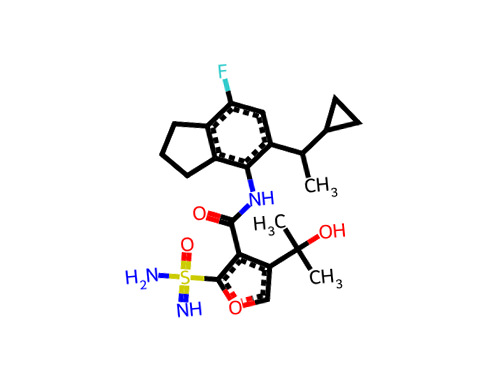 CC(c1cc(F)c2c(c1NC(=O)c1c(C(C)(C)O)coc1S(=N)(N)=O)CCC2)C1CC1